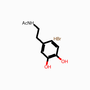 Br.CC(=O)NCCc1ccc(O)c(O)c1